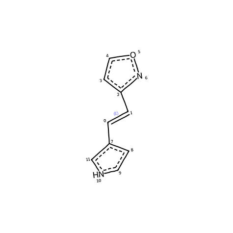 C(=C\c1ccon1)/c1cc[nH]c1